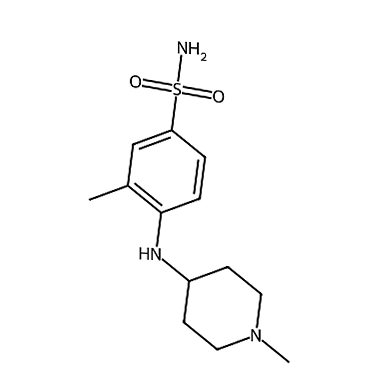 Cc1cc(S(N)(=O)=O)ccc1NC1CCN(C)CC1